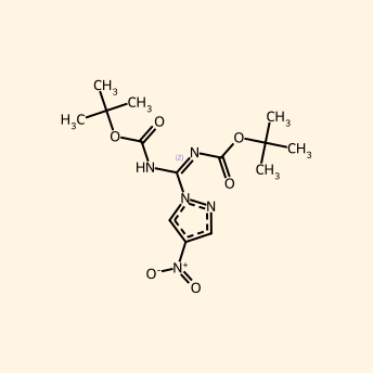 CC(C)(C)OC(=O)/N=C(/NC(=O)OC(C)(C)C)n1cc([N+](=O)[O-])cn1